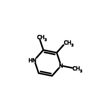 CC1=C(C)N(C)C=CN1